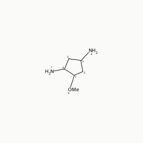 COC1CC(N)CC1N